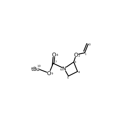 C=COC1CCN1C(=O)OC(C)(C)C